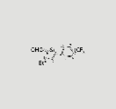 CCc1cc(-c2ccc(C(F)(F)F)cc2)sc1C=O